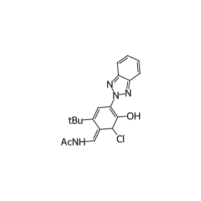 CC(=O)NC=C1C(C(C)(C)C)=CC(n2nc3ccccc3n2)=C(O)C1Cl